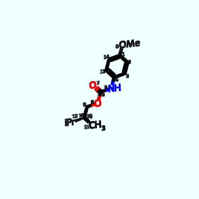 COc1ccc(NC(=O)OC[C@@H](C)C(C)C)cc1